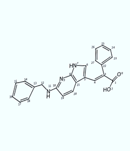 O=C(O)/C(=C/c1c[nH]c2nc(NCc3ccccc3)ccc12)c1ccccc1